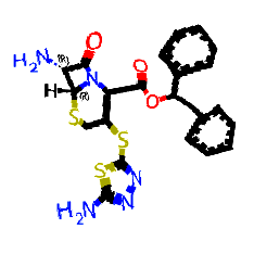 Nc1nnc(SC2=C(C(=O)OC(c3ccccc3)c3ccccc3)N3C(=O)[C@@H](N)[C@H]3SC2)s1